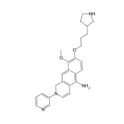 COc1c(OCCCC2CCNC2)ccc2c(N)c3c(cc12)CN(c1cccnc1)C=C3